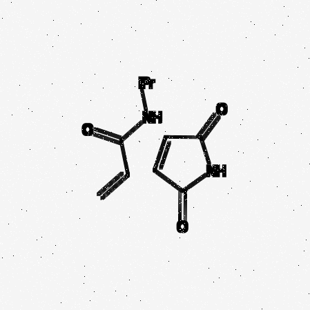 C=CC(=O)NC(C)C.O=C1C=CC(=O)N1